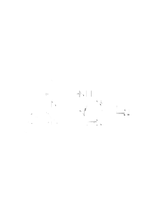 CC(C)(C)OC(=O)N1CCC[C@@H](Nc2ncnc(C#N)n2)C1